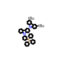 CC(C)(C)c1ccc2c(c1)c1cc(C(C)(C)C)ccc1n2-c1ccc2c(c1)c1ccccc1n2-c1cccc(S(c2ccccc2)(c2ccccc2)c2ccccc2)c1